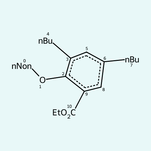 CCCCCCCCCOc1c(CCCC)cc(CCCC)cc1C(=O)OCC